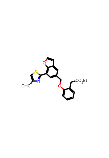 CCOC(=O)Cc1ccccc1OCc1cc(-c2nc(C=O)cs2)c2occc2c1